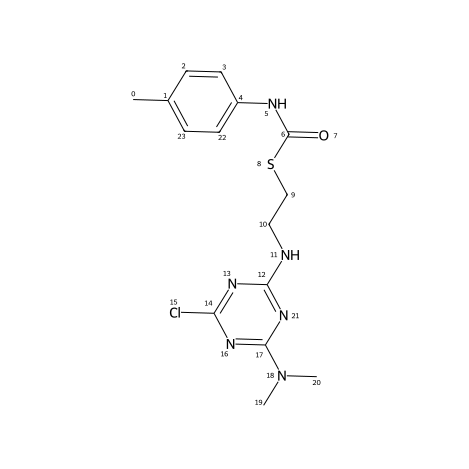 Cc1ccc(NC(=O)SCCNc2nc(Cl)nc(N(C)C)n2)cc1